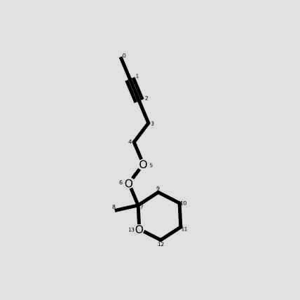 CC#CCCOOC1(C)CCCCO1